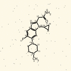 CN1CCN(c2cc3c(cc2F)nc(CC(N)=O)n3C2CC2)CC1